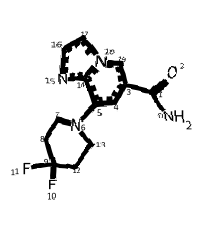 NC(=O)c1cc(N2CCC(F)(F)CC2)c2nccn2c1